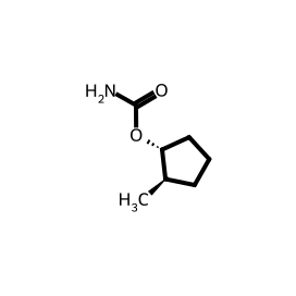 C[C@@H]1CCC[C@H]1OC(N)=O